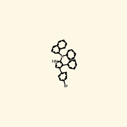 Brc1ccc(-c2c[nH]c(N(c3ccccc3)c3cccc4ccccc34)c2-c2ccccc2)cc1